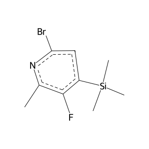 Cc1nc(Br)cc([Si](C)(C)C)c1F